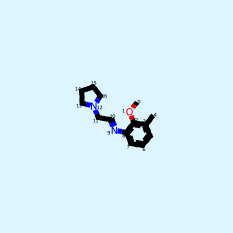 COc1c(C)cccc1N=CCN1CCCC1